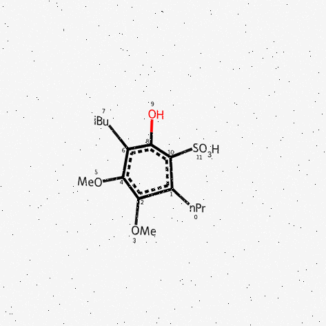 CCCc1c(OC)c(OC)c(C(C)CC)c(O)c1S(=O)(=O)O